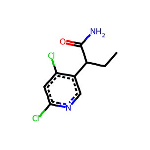 CCC(C(N)=O)c1cnc(Cl)cc1Cl